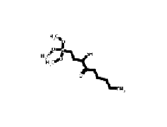 CCCCCC(=O)C(S)CC[Si](OC)(OC)OC